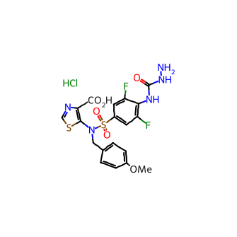 COc1ccc(CN(c2scnc2C(=O)O)S(=O)(=O)c2cc(F)c(NC(=O)NN)c(F)c2)cc1.Cl